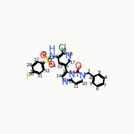 O=c1n(Cc2ccccc2)ccc2ncc(-c3cnc(Cl)c(NS(=O)(=O)c4ccc(F)cc4)c3)n12